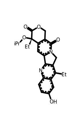 CCc1c2c(nc3ccc(O)cc13)-c1cc3c(c(=O)n1C2)COC(=O)[C@@]3(CC)OC(C)C